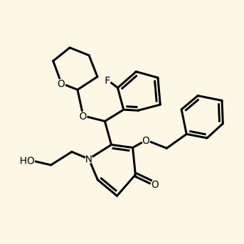 O=c1ccn(CCO)c(C(OC2CCCCO2)c2ccccc2F)c1OCc1ccccc1